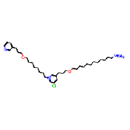 [Cl-].[N-]=[N+]=NCCCCCCCCCCCCOCCCc1ccc[n+](CCCCCCCCOCCCc2cccnc2)c1